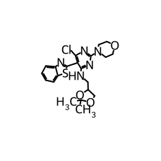 CC1(C)OCC(CNc2nc(N3CCOCC3)nc(Cl)c2-c2nc3ccccc3s2)O1